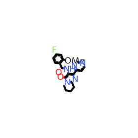 COc1cc(F)ccc1C(=O)Nc1c(-c2ccncn2)nc2n(c1=O)CCCC2